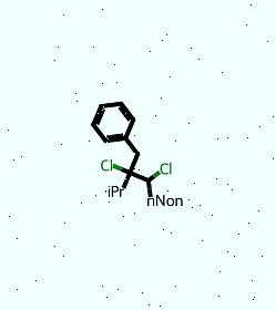 CCCCCCCCCC(Cl)C(Cl)(Cc1ccccc1)[C](C)C